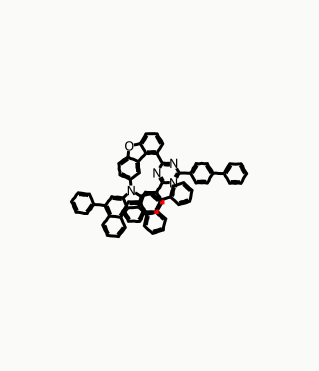 c1ccc(-c2ccc(-c3nc(-c4ccc5ccccc5c4)nc(-c4cccc5oc6ccc(-n7c8cc(-c9ccccc9)c9ccccc9c8c8c9ccccc9c(-c9ccccc9)cc87)cc6c45)n3)cc2)cc1